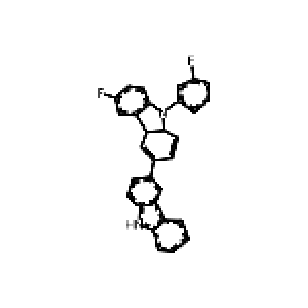 Fc1cccc(N2c3ccc(F)cc3C3C=C(c4ccc5[nH]c6ccccc6c5c4)C=CC32)c1